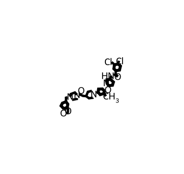 Cc1cc(N2CCC(CC(=O)N3CCN(Cc4ccc5c(c4)OCO5)CC3)CC2)ccc1Oc1ccc(NC(=O)c2ccc(Cl)c(Cl)c2)cn1